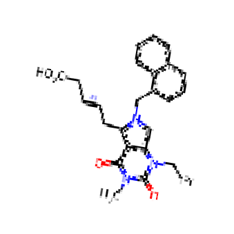 CC(C)Cn1c(=O)n(C)c(=O)c2c(C/C=C/CC(=O)O)n(Cc3cccc4ccccc34)cc21